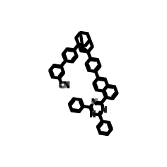 N#Cc1cccc(-c2ccc(C34CC5CC(C3)CC(c3ccc(-c6ccc7c(-c8nc(-c9ccccc9)nc(-c9ccccc9)n8)cccc7c6)cc3)(C5)C4)cc2)c1